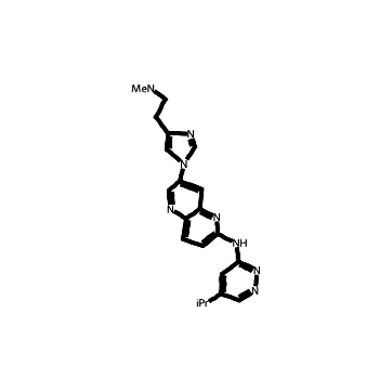 CNCCc1cn(-c2cnc3ccc(Nc4cc(C(C)C)cnn4)nc3c2)cn1